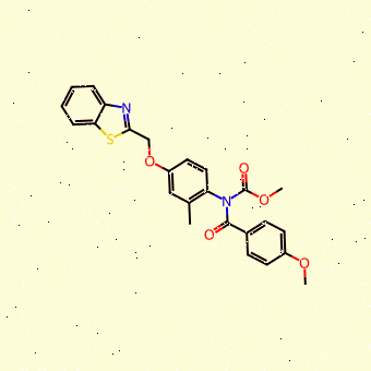 COC(=O)N(C(=O)c1ccc(OC)cc1)c1ccc(OCc2nc3ccccc3s2)cc1C